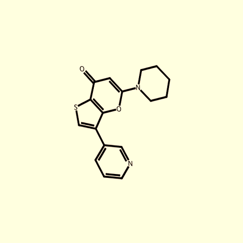 O=c1cc(N2CCCCC2)oc2c(-c3cccnc3)csc12